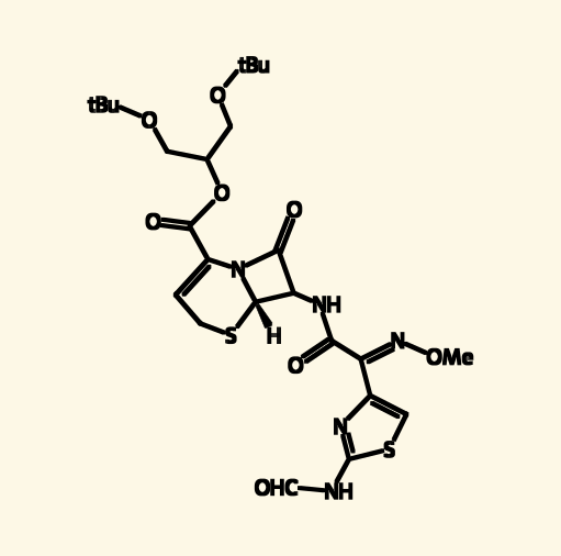 CON=C(C(=O)NC1C(=O)N2C(C(=O)OC(COC(C)(C)C)COC(C)(C)C)=CCS[C@@H]12)c1csc(NC=O)n1